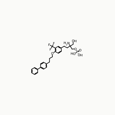 NC(CO)(CCc1ccc(OCCCc2ccc(-c3ccccc3)cc2)c(C(F)(F)F)c1)COP(=O)(O)O